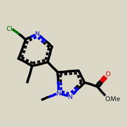 COC(=O)c1cc(-c2cnc(Cl)cc2C)n(C)n1